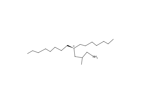 CCCCCCCC[C@@H](CCCCCCC)CC(C)CN